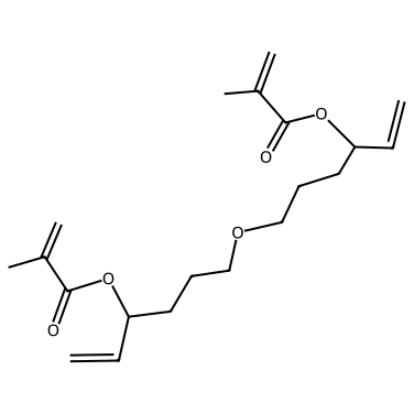 C=CC(CCCOCCCC(C=C)OC(=O)C(=C)C)OC(=O)C(=C)C